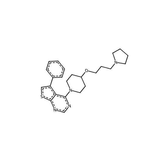 c1ccc(-c2csc3ncnc(N4CCC(OCCCN5CCCC5)CC4)c23)cc1